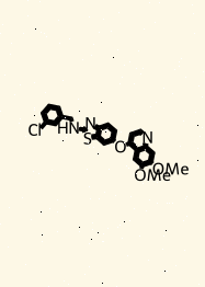 COc1cc2nccc(Oc3ccc4nc(NCc5cccc(Cl)c5)sc4c3)c2cc1OC